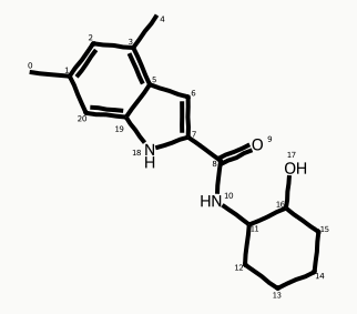 Cc1cc(C)c2cc(C(=O)NC3CCCCC3O)[nH]c2c1